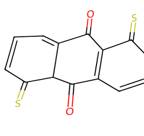 O=C1C2=CC=CC(=S)C2C(=O)C2=C1C(=S)CC=C2